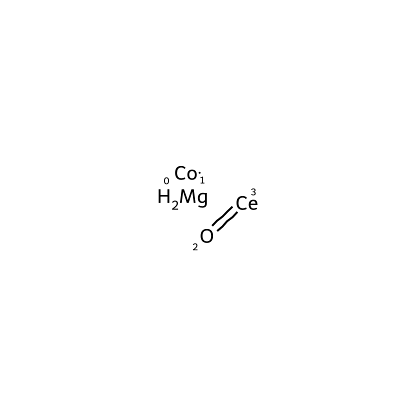 [Co].[MgH2].[O]=[Ce]